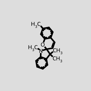 Cc1ccc2c(c1)OC1(C=C2)N(C)c2ccccc2C1(C)C